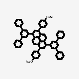 COc1ccc(-c2cc(-c3cc(-c4ccccc4)cc(-c4ccccc4)c3)c3ccc4c(-c5ccc(OC)cc5)cc(-c5cc(-c6ccccc6)cc(-c6ccccc6)c5)c5ccc2c3c45)cc1